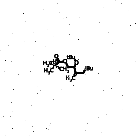 C=C(CC(C)CC)C(COC(=O)[PH](C)(C)C)OC(C)(C)C